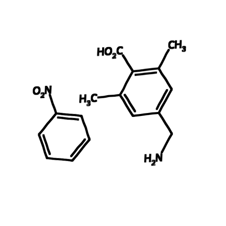 Cc1cc(CN)cc(C)c1C(=O)O.O=[N+]([O-])c1ccccc1